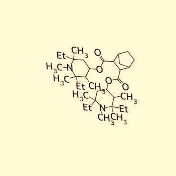 CCC1(C)CC(OC(=O)C2C3CCC(C3)C2C(=O)OC2CC(C)(CC)N(C)C(C)(CC)C2C)C(C)C(C)(CC)N1C